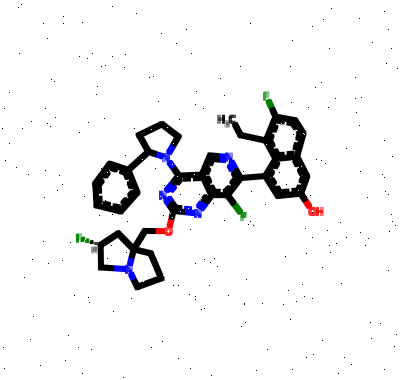 CCc1c(F)ccc2cc(O)cc(-c3ncc4c(N5CCCC5c5ccccc5)nc(OCC56CCCN5C[C@H](F)C6)nc4c3F)c12